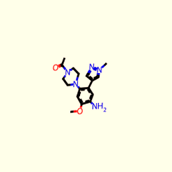 COc1cc(N2CCN(C(C)=O)CC2)c(-c2cnn(C)c2)cc1N